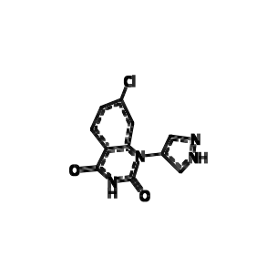 O=c1[nH]c(=O)n(-c2cn[nH]c2)c2cc(Cl)ccc12